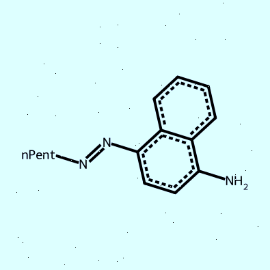 CCCCC/N=N/c1ccc(N)c2ccccc12